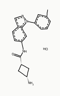 Cc1cccc(-n2ncc3ccc(NC(=O)[C@H]4C[C@@H](N)C4)cc32)c1.Cl